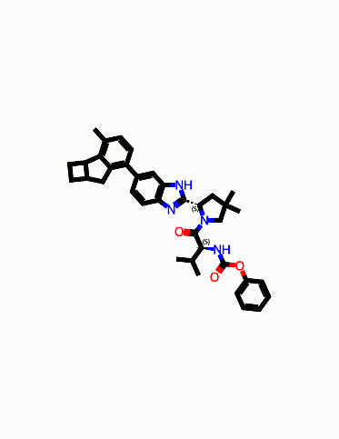 Cc1ccc(-c2ccc3nc([C@@H]4CC(C)(C)CN4C(=O)[C@@H](NC(=O)Oc4ccccc4)C(C)C)[nH]c3c2)c2c1C1CCC1C2